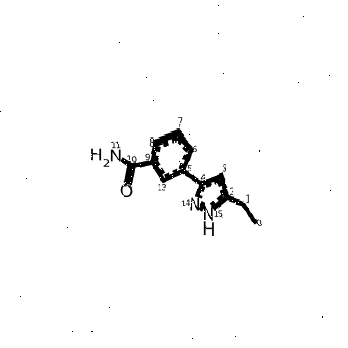 CCc1cc(-c2cccc(C(N)=O)c2)n[nH]1